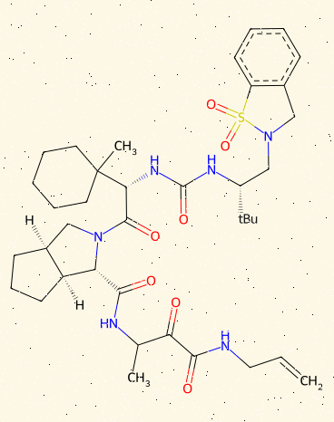 C=CCNC(=O)C(=O)C(C)NC(=O)[C@@H]1[C@H]2CCC[C@H]2CN1C(=O)[C@@H](NC(=O)N[C@H](CN1Cc2ccccc2S1(=O)=O)C(C)(C)C)C1(C)CCCCC1